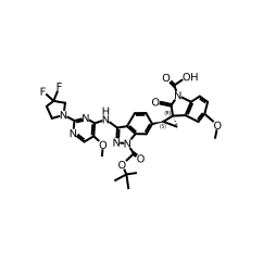 COc1ccc2c(c1)[C@]1(C[C@H]1c1ccc3c(Nc4nc(N5CCC(F)(F)C5)ncc4OC)nn(C(=O)OC(C)(C)C)c3c1)C(=O)N2C(=O)O